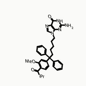 COc1cc(C(CCCCCn2cnc3c(=O)[nH]c(N)nc32)(c2ccccc2)c2ccccc2)ccc1C(=O)C(C)C